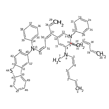 C=C/C=C\C=C/N(C)/C(C=C)=C/C(=C\N(/C=C\C=C/C=C)c1ccccc1)C(/C=C)=C\C=C/N(c1ccccc1)c1ccc2sc3ccccc3c2c1